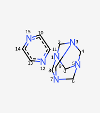 C1N2CN3CN1CN(C2)C3.c1cnccn1